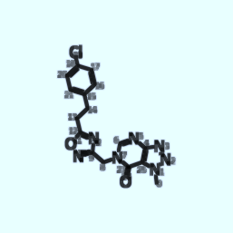 Cn1nnc2ncn(Cc3noc(CCc4ccc(Cl)cc4)n3)c(=O)c21